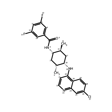 C[C@@H]1C[C@H](NC(=O)c2cc(F)cc(F)c2)[C@@H](C)C[C@@H]1Nc1ccnc2cc(Cl)ccc12